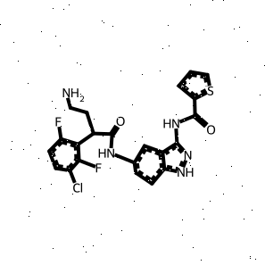 NCCC(C(=O)Nc1ccc2[nH]nc(NC(=O)c3cccs3)c2c1)c1c(F)ccc(Cl)c1F